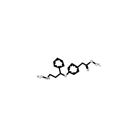 CNCCC(Oc1ccc(CC(=O)OC)cc1)c1ccccc1